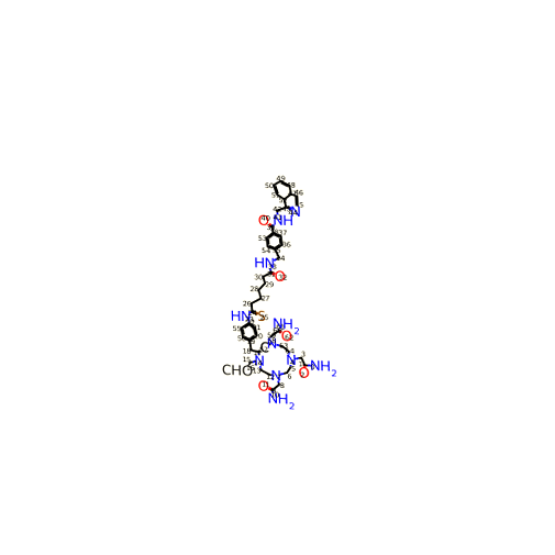 NC(=O)CN1CCN(CC(N)=O)CCN(CC=O)C(Cc2ccc(NC(=S)CCCCCC(=O)NCc3ccc(C(=O)NCC4=NC=CC5C=CC=CC45)cc3)cc2)CN(CC(N)=O)CC1